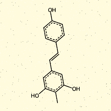 Cc1c(O)cc(/C=C/c2ccc(O)cc2)cc1O